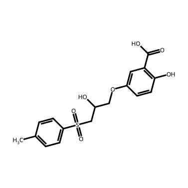 Cc1ccc(S(=O)(=O)CC(O)COc2ccc(O)c(C(=O)O)c2)cc1